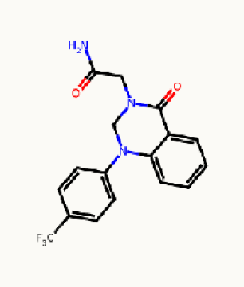 NC(=O)CN1CN(c2ccc(C(F)(F)F)cc2)c2ccccc2C1=O